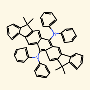 CC1(C)c2ccccc2-c2cc3c(N(c4ccccc4)c4ccccc4)c4cc5c(cc4c(N(c4ccccc4)c4ccccc4)c3cc21)-c1ccccc1C5(C)C